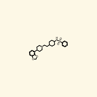 O=S(=O)(NC1CCC(CCN2CCC(c3cccc4c3OCO4)CC2)CC1)c1ccccc1